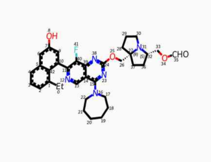 CCc1cccc2cc(O)cc(-c3ncc4c(N5CCCCCC5)nc(OC[C@]56CCCN5[C@H](COC=O)CC6)nc4c3F)c12